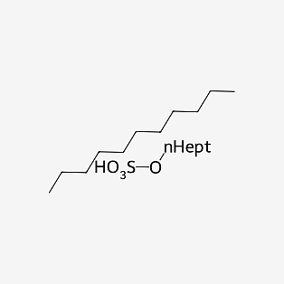 CCCCCCCCCCC.CCCCCCCOS(=O)(=O)O